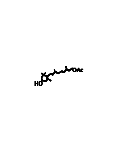 CC(=O)OC/C=C(C)/C=C/C=C(C)/C=C/C1=C(C)CC(O)CC1(C)C